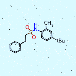 Cc1cc(C(C)(C)C)ccc1NS(=O)(=O)CCc1ccccc1